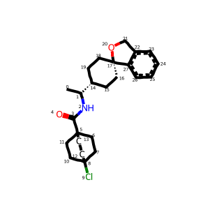 CC(NC(=O)C12CCC(Cl)(CC1)CC2)[C@H]1CC[C@]2(CC1)OCc1ccccc12